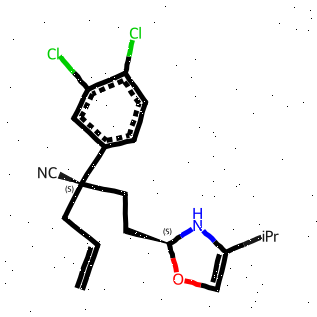 C=CC[C@@](C#N)(CC[C@H]1NC(C(C)C)=CO1)c1ccc(Cl)c(Cl)c1